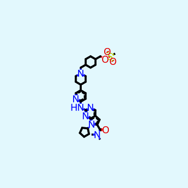 CN(C)C(=O)c1cc2cnc(Nc3ccc(C4CCN(CC5CCC(COS(C)(=O)=O)CC5)CC4)cn3)nc2n1C1CCCC1